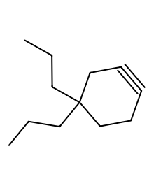 CCCC1(CCC)CC#CCC1